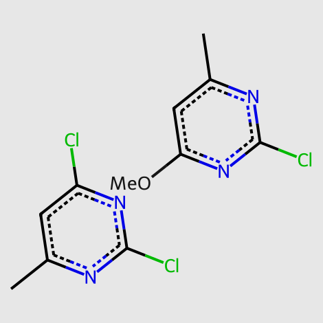 COc1cc(C)nc(Cl)n1.Cc1cc(Cl)nc(Cl)n1